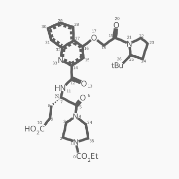 CCOC(=O)N1CCN(C(=O)[C@H](CCC(=O)O)NC(=O)c2cc(OCC(=O)N3CCCC3C(C)(C)C)c3ccccc3n2)CC1